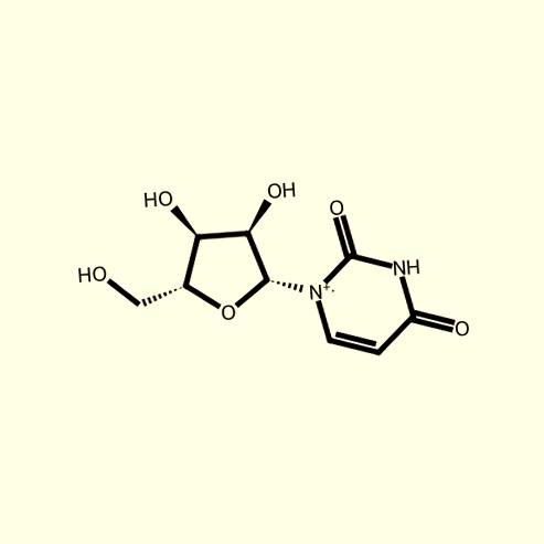 O=C1C=C[N+]([C@@H]2O[C@H](CO)[C@@H](O)[C@H]2O)C(=O)N1